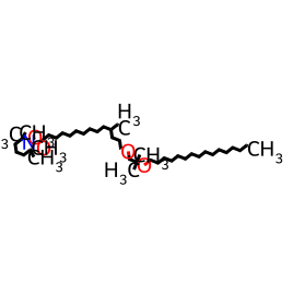 CCCCCCCCCCCCCCCCOC(C)(C)COCCCC(CC)CCCCCCCCCC(=O)ON1C(C)(C)CCCC1(C)C